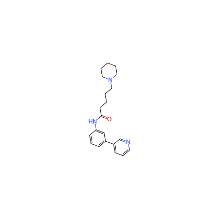 O=C(CCCCN1CCCCC1)Nc1cccc(-c2cccnc2)c1